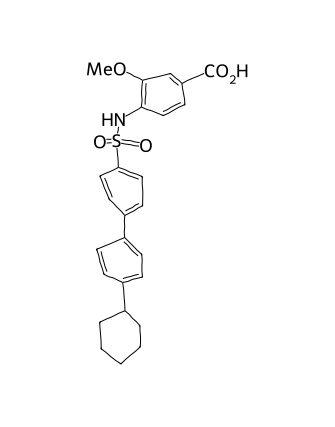 COc1cc(C(=O)O)ccc1NS(=O)(=O)c1ccc(-c2ccc(C3CCCCC3)cc2)cc1